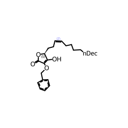 CCCCCCCCCCCCCC/C=C\CC[C@@H]1OC(=O)C(OCc2ccccc2)=C1O